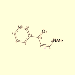 CN/C=C\C(=O)c1cccnc1